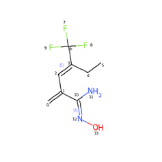 C=C(/C=C(\CC)C(F)(F)F)/C(N)=N/O